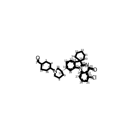 O=CC1CCC(N2CCC[C@@H](c3ccc4c(c3)-n3c(nc(=O)c5c(Cl)cccc53)C43CCCCC3)C2)CC1